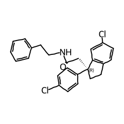 O=C(C[C@@]1(c2ccc(Cl)cc2)CCc2ccc(Cl)cc21)NCCc1ccccc1